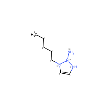 CCCCCN1C=CNN1N